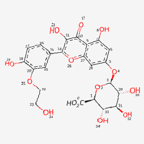 O=C(O)[C@H]1O[C@@H](Oc2cc(O)c3c(=O)c(O)c(-c4ccc(O)c(OCCO)c4)oc3c2)[C@H](O)[C@@H](O)[C@@H]1O